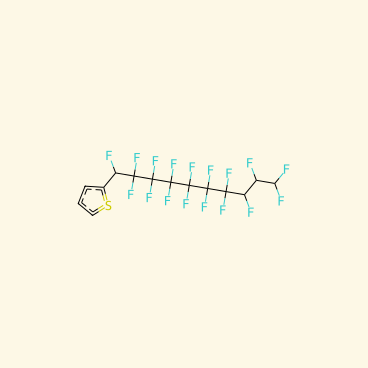 FC(F)C(F)C(F)C(F)(F)C(F)(F)C(F)(F)C(F)(F)C(F)(F)C(F)(F)C(F)c1cccs1